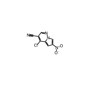 N#Cc1cnn2cc([N+](=O)[O-])cc2c1Cl